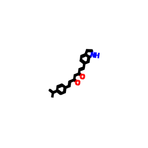 CC(C)c1ccc(C=CC(=O)CC(=O)C=Cc2ccc3cc[nH]c3c2)cc1